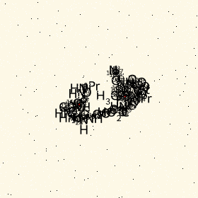 CCCNC(=O)Nc1cccc(S(=O)(=O)Nc2cccc(C(CC(=O)O)NC(=O)Nc3ccc(NC(=O)NCCOCCOCCOCCC(=O)NC(CC(=O)O)C(=O)N4CCCC4C(=O)NC(C(=O)OC4(CC)C(=O)OCc5c4cc4n(c5=O)Cc5c-4nc4cc(F)c(C)c6c4c5C(NC(=O)Cc4ccncc4)CC6)C(C)C)cc3)c2)c1